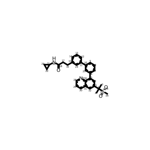 CC(C)(c1cc(-c2cccc(-c3cccc(CCC(=O)NC4CC4)c3)c2)c2ncccc2c1)S(C)(=O)=O